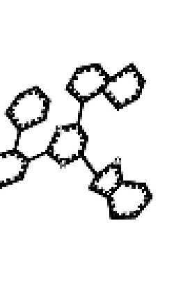 c1ccc(-c2ccccc2-c2nc(-c3cc4ccccc4o3)cc(-c3cccc4ccccc34)n2)cc1